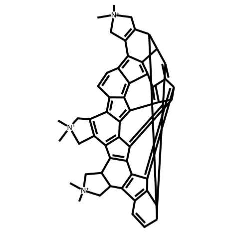 C[N+]1(C)CC2=C(C1)C1C3C4=c5c6c7c8c(c9c7c7c(c%10c%11c(c%12c%13ccc%14c2c3c2c5c3c6c7c%10c%12c3c%13c%142)C[N+](C)(C)C%11)C2C[N+](C)(C)CC92)C=CC1C48